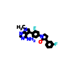 Cn1cc(-c2ccc(N3CCC(c4cccc(F)c4)C3=O)cc2F)c2c(N)ncnc21